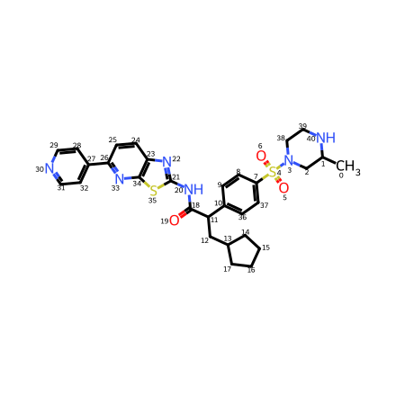 CC1CN(S(=O)(=O)c2ccc(C(CC3CCCC3)C(=O)Nc3nc4ccc(-c5ccncc5)nc4s3)cc2)CCN1